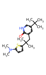 CN(C)c1ccc(C(C)(C)Cc2cc(C(C)(C)C)c[nH]c2=O)s1